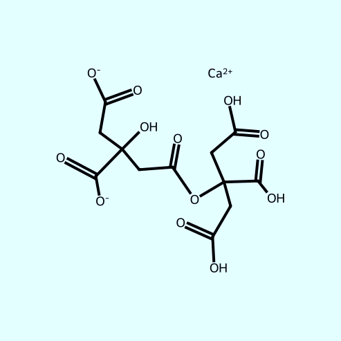 O=C([O-])CC(O)(CC(=O)OC(CC(=O)O)(CC(=O)O)C(=O)O)C(=O)[O-].[Ca+2]